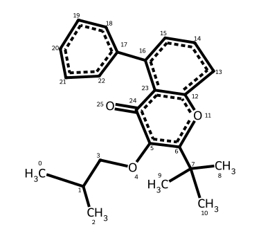 CC(C)COc1c(C(C)(C)C)oc2cccc(-c3ccccc3)c2c1=O